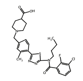 CCCCN(C(=O)c1cccc(Cl)c1F)c1nnc(-c2ccc(CN3CCC(C(=O)O)CC3)cc2C)s1